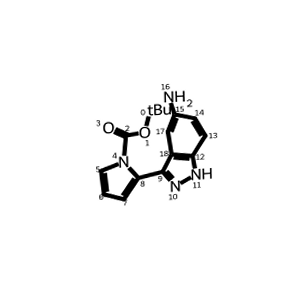 CC(C)(C)OC(=O)n1cccc1-c1n[nH]c2ccc(N)cc12